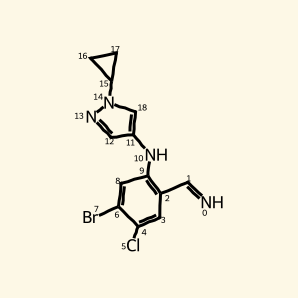 N=Cc1cc(Cl)c(Br)cc1Nc1cnn(C2CC2)c1